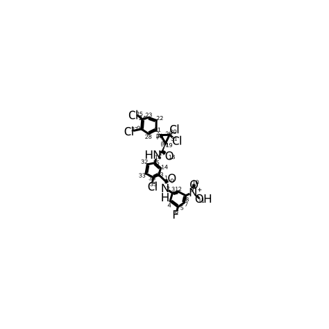 O=C(Nc1cc(F)cc([N+](=O)O)c1)c1cc(NC(=O)[C@H]2[C@H](c3ccc(Cl)c(Cl)c3)C2(Cl)Cl)ccc1Cl